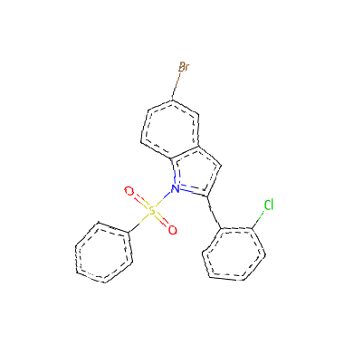 O=S(=O)(c1ccccc1)n1c(-c2ccccc2Cl)cc2cc(Br)ccc21